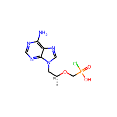 C[C@H](Cn1cnc2c(N)ncnc21)OCP(=O)(O)Cl